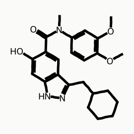 COc1ccc(N(C)C(=O)c2cc3c(CC4CCCCC4)n[nH]c3cc2O)cc1OC